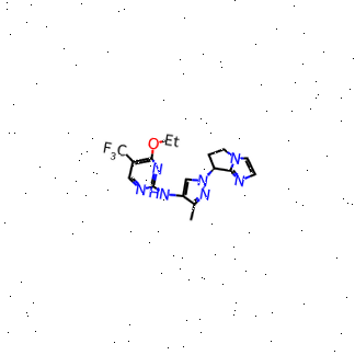 CCOc1nc(Nc2cn([C@H]3CCn4ccnc43)nc2C)ncc1C(F)(F)F